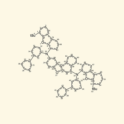 CC(C)(C)c1cccc2c1oc1c(N(c3cccc(-c4ccccc4)c3)c3ccc4oc5cc(N(c6cccc(-c7ccccc7)c6)c6cccc7c6oc6c(C(C)(C)C)cccc67)c6ccccc6c5c4c3)cccc12